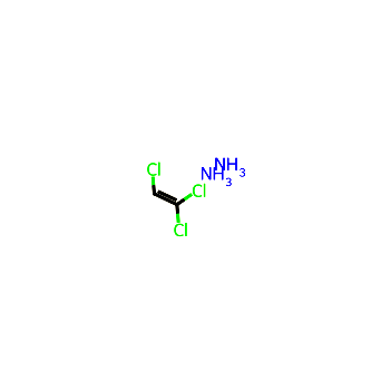 ClC=C(Cl)Cl.N.N